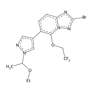 CCOC(C)n1cc(-c2ccc3nc(Br)nn3c2OCC(F)(F)F)cn1